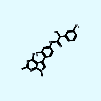 Cc1nc(N)c2c(-c3ccc(NC(=O)C(O)c4cccc(C(F)(F)F)c4)cc3C)cn(C)c2n1